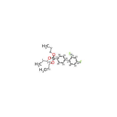 CCCO[Si](OCCC)(OCCC)c1ccc(-c2ccc(F)cc2F)cc1